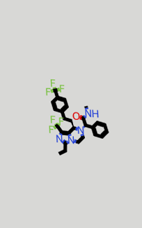 CCc1nc(C(F)(F)F)c2n1CCN([C@@H](C(=O)NC)c1ccccc1)[C@@H]2CCc1ccc(C(F)(F)F)cc1